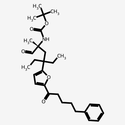 CCC(CC)(C[C@](C)(C=O)NC(=O)OC(C)(C)C)c1ccc(C(=O)CCCCc2ccccc2)o1